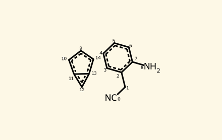 N#CCc1ccccc1N.c1cc2cc-2c1